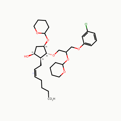 O=C(O)CCC/C=C\C[C@@H]1[C@@H](OCC(COc2cccc(Cl)c2)OC2CCCCO2)[C@H](OC2CCCCO2)C[C@@H]1O